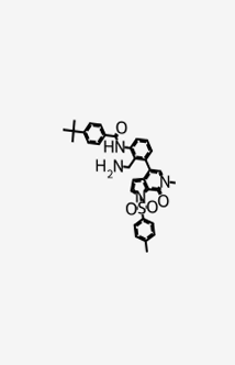 Cc1ccc(S(=O)(=O)n2ccc3c(-c4cccc(NC(=O)c5ccc(C(C)(C)C)cc5)c4CN)cn(C)c(=O)c32)cc1